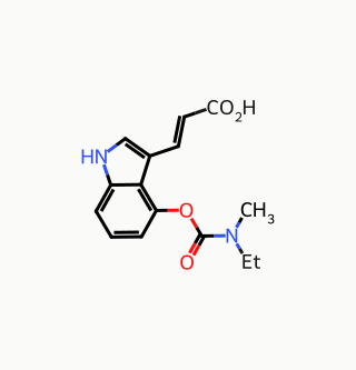 CCN(C)C(=O)Oc1cccc2[nH]cc(/C=C/C(=O)O)c12